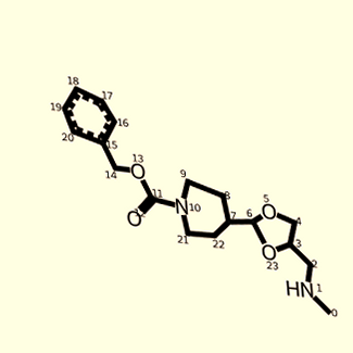 CNCC1COC(C2CCN(C(=O)OCc3ccccc3)CC2)O1